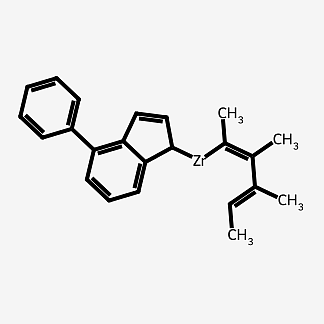 CC=C(C)C(C)=[C](C)[Zr][CH]1C=Cc2c(-c3ccccc3)cccc21